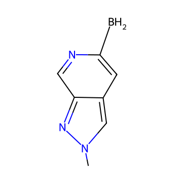 Bc1cc2cn(C)nc2cn1